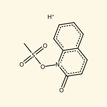 CS(=O)(=O)On1c(=O)ccc2ccccc21.[H+]